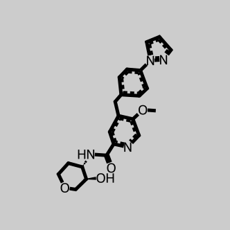 COc1cnc(C(=O)N[C@H]2CCOC[C@@H]2O)cc1Cc1ccc(-n2cccn2)cc1